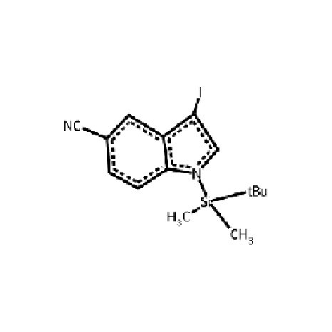 CC(C)(C)[Si](C)(C)n1cc(I)c2cc(C#N)ccc21